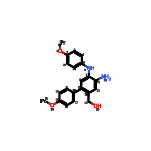 CC(C)Oc1ccc(Nc2cc(-c3ccc(OC(C)C)cc3)c(CO)cc2N)cc1